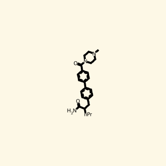 CCCC(Cc1ccc(-c2ccc(C(=O)N3CCN(C)CC3)cc2)cc1)C(N)=O